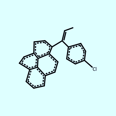 CC=C(c1ccc(Cl)cc1)c1ccc2ccc3cccc4ccc1c2c34